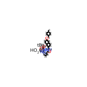 Cc1ccc(COc2ccc3cc(-c4noc([C@@H]5CCCN5/C(=N/C(=O)O)NC(=O)OC(C)(C)C)n4)ccc3c2)cc1